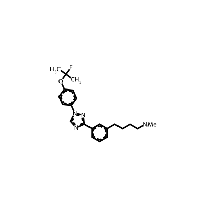 CNCCCCc1cccc(-c2ncn(-c3ccc(OC(C)(C)F)cc3)n2)c1